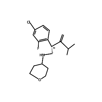 C=C(C(C)C)[C@H](CNC1CCOCC1)c1ccc(Cl)cc1F